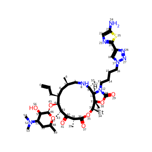 C=CC[C@H]1C[C@@H](C)CN[C@H](C)[C@H]2N(CCCCn3cc(-c4ncc(N)s4)nn3)C(=O)O[C@]2(C)[C@@H](CC)OC(=O)[C@H](C)C(=O)[C@H](C)[C@H]1O[C@@H]1OC(C)CC(N(C)C)C1O